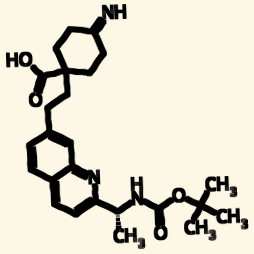 C[C@@H](NC(=O)OC(C)(C)C)c1ccc2ccc(CCC3(C(=O)O)CCC(=N)CC3)cc2n1